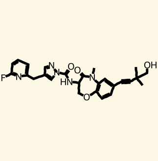 CN1C(=O)C(NC(=O)n2cc(Cc3cccc(F)n3)cn2)COc2ccc(C#CC(C)(C)CO)cc21